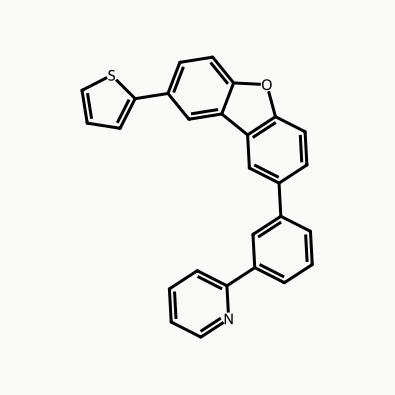 c1ccc(-c2cccc(-c3ccc4oc5ccc(-c6cccs6)cc5c4c3)c2)nc1